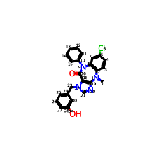 CN1c2ccc(Cl)cc2N(c2ccccc2)C(=O)c2c1ncn2Cc1cccc(O)c1